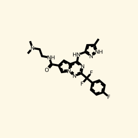 Cc1cc(Nc2nc(C(F)(F)c3ccc(F)cc3)nn3cc(C(=O)NCCN(C)C)cc23)n[nH]1